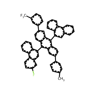 Cc1ccc(-c2ccc3c(-c4cc5ccccc5c5ccccc45)c4cc(-c5cccc(C(F)(F)F)c5)ccc4c(-c4cc5cc(F)ccc5c5ccccc45)c3c2)cc1